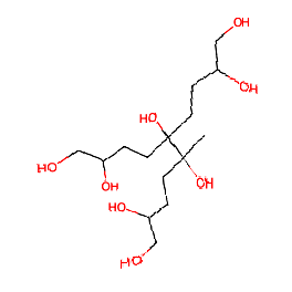 CC(O)(CCC(O)CO)C(O)(CCC(O)CO)CCC(O)CO